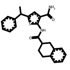 CC(c1ccccc1)c1cc(C(N)=O)c(NC(=O)C2CCc3ccccc3C2)s1